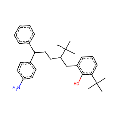 CC(C)(C)c1cccc(CC(CCC(c2ccccc2)c2ccc(N)cc2)C(C)(C)C)c1O